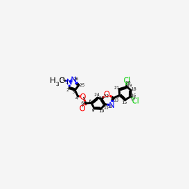 Cn1cc(COC(=O)c2ccc3nc(-c4cc(Cl)cc(Cl)c4)oc3c2)cn1